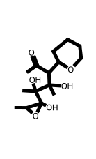 CC(=O)C(C1CCCCO1)C(C)(O)C(C)(O)C1(O)OC1C